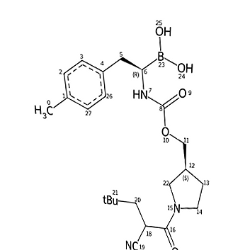 Cc1ccc(C[C@H](NC(=O)OC[C@H]2CCN(C(=O)C(C#N)CC(C)(C)C)C2)B(O)O)cc1